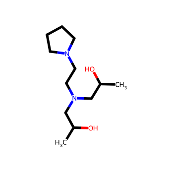 CC(O)CN(CCN1CCCC1)CC(C)O